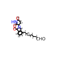 O=CCCCCCCCc1cccc2c1CN(C1CCC(=O)NC1=O)C2=O